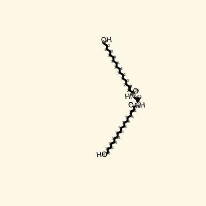 O=C(/C=C/CCCCCCCCCCCCCCCO)N[C@@H]1C[C@H]1NC(=O)/C=C/CCCCCCCCCCCCCCCO